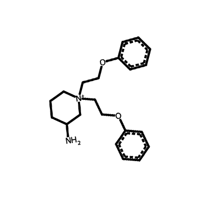 NC1CCC[N+](CCOc2ccccc2)(CCOc2ccccc2)C1